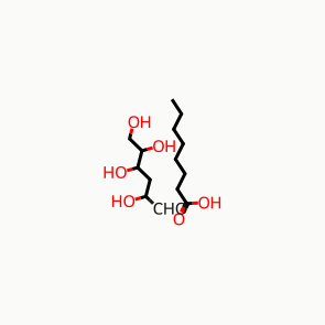 CCCCCCCC(=O)O.O=CC(O)CC(O)C(O)CO